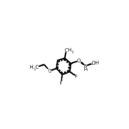 CCOc1cc(C)c(OBO)c(F)c1F